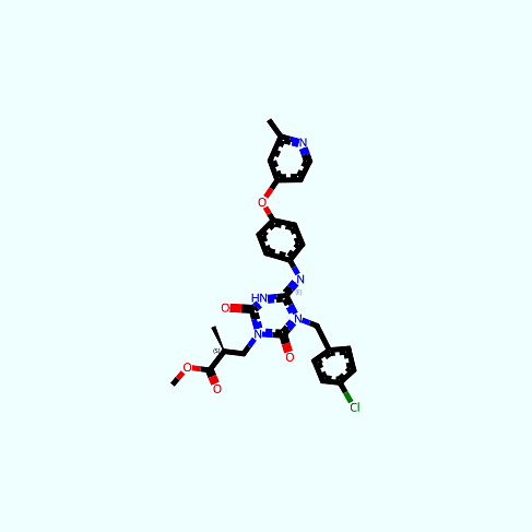 COC(=O)[C@@H](C)Cn1c(=O)[nH]/c(=N\c2ccc(Oc3ccnc(C)c3)cc2)n(Cc2ccc(Cl)cc2)c1=O